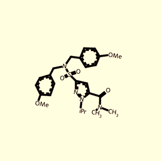 COc1ccc(CN(Cc2ccc(OC)cc2)S(=O)(=O)c2cc(C(=O)N(C)C)n(C(C)C)n2)cc1